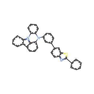 c1ccc(-c2nc3ccc(-c4cccc(N5c6ccccc6-n6c7ccccc7c7cccc5c76)c4)cc3s2)cc1